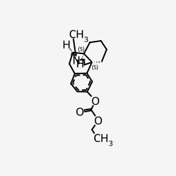 CCOC(=O)Oc1ccc2c(c1)[C@]13CCCC[C@@H]1[C@H](C2)N(C)CC3